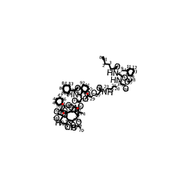 C#CCCCC(=O)N[C@H](Cc1ccccc1)C(=O)N[C@@H](CCCCNC(=O)COCC(=O)O[C@@H](C(=O)O[C@H]1C[C@@]2(O)[C@@H](OC(=O)c3ccccc3)[C@@H]3[C@]4(OC(C)=O)CO[C@@H]4C[C@H](O)[C@@]3(C)C(=O)[C@H](OC(C)=O)C(=C1C)C2(C)C)C(NC(=O)c1ccccc1)c1ccccc1)C(=O)OCC